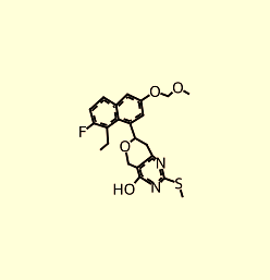 CCc1c(F)ccc2cc(OCOC)cc(C3Cc4nc(SC)nc(O)c4CO3)c12